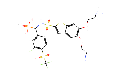 NCCOc1cc2cc(S(=O)(=O)NC(c3ccc(S(=O)(=O)C(F)(F)F)c(F)c3)P(=O)(O)O)sc2cc1OCCN